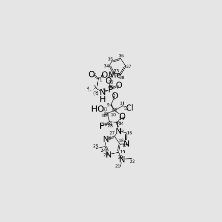 COC(=O)[C@@H](C)N[P@@](=O)(OC[C@@]1(CCl)O[C@@H](n2cnc3c(N(C)C)nc(C)nc32)[C@H](F)[C@@H]1O)Oc1ccccc1